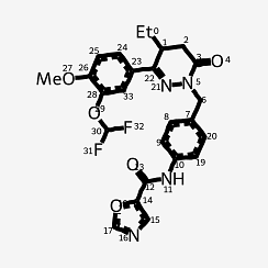 CCC1CC(=O)N(Cc2ccc(NC(=O)c3cnco3)cc2)N=C1c1ccc(OC)c(OC(F)F)c1